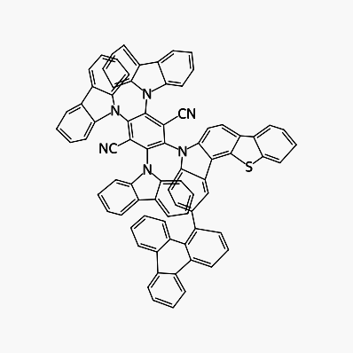 N#Cc1c(-n2c3ccccc3c3ccccc32)c(-n2c3ccccc3c3ccccc32)c(C#N)c(-n2c3ccc(-c4cccc5c6ccccc6c6ccccc6c45)cc3c3c4sc5ccccc5c4ccc32)c1-n1c2ccccc2c2ccccc21